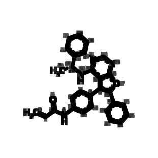 C=CC(=O)Nc1ccc(-c2c(-c3ccccc3)oc3ncnc(N[C@H](C)c4ccccc4)c23)cc1